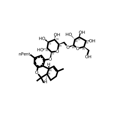 CCCCCc1cc(O[C@@H]2O[C@H](CO[C@@H]3O[C@H](CO)[C@@H](O)[C@H](O)[C@H]3O)[C@@H](O)[C@H](O)[C@H]2O)c2c(c1)OC(C)(C)[C@@H]1CCC(C)=C[C@@H]21